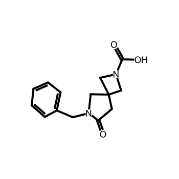 O=C(O)N1CC2(CC(=O)N(Cc3ccccc3)C2)C1